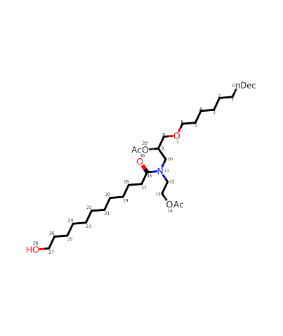 CCCCCCCCCCCCCCCCOCC(CN(CCOC(C)=O)C(=O)CCCCCCCCCCCO)OC(C)=O